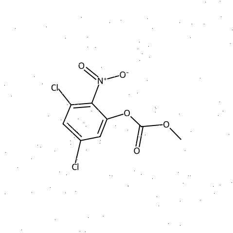 COC(=O)Oc1cc(Cl)cc(Cl)c1[N+](=O)[O-]